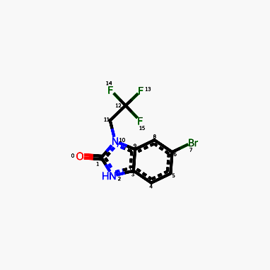 O=c1[nH]c2ccc(Br)cc2n1CC(F)(F)F